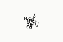 CC1CN(C(=O)COc2ccc(Cl)cc2CN(C)S(=O)(=O)c2ccccc2)C(C)CN1Cc1ccc(F)cc1